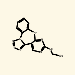 CCC(C)CNc1ncc2c(n1)Nc1ccccc1-n1nnnc1-2